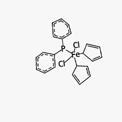 [Cl][Fe]([Cl])([CH]1C=CC=C1)([CH]1C=CC=C1)[P](c1ccccc1)c1ccccc1